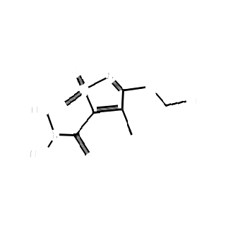 CCOC1=NS(=O)(=O)C(C(=O)N(C)C)=C1Cl